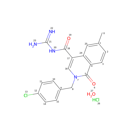 Cc1ccc2c(=O)n(Cc3ccc(Cl)cc3)cc(C(=O)NC(=N)N)c2c1.Cl.O